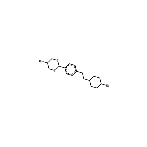 CCCCC1CSC(c2ccc(CCC3CCC(CC)CC3)cc2)SC1